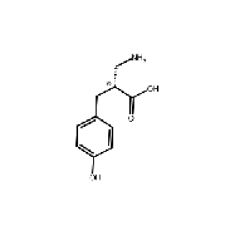 NC[C@@H](Cc1ccc(O)cc1)C(=O)O